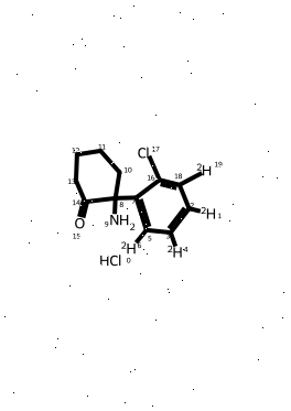 Cl.[2H]c1c([2H])c([2H])c(C2(N)CCCCC2=O)c(Cl)c1[2H]